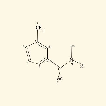 CC(=O)C(c1cccc(C(F)(F)F)c1)N(C)C